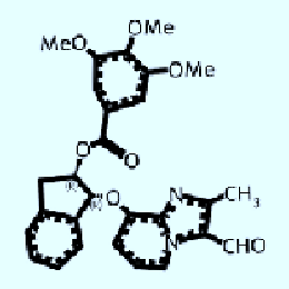 COc1cc(C(=O)O[C@@H]2Cc3ccccc3[C@H]2Oc2cccn3c(C=O)c(C)nc23)cc(OC)c1OC